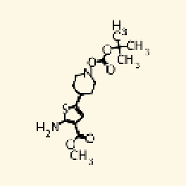 COC(=O)c1cc(C2CCN(OC(=O)OC(C)(C)C)CC2)sc1N